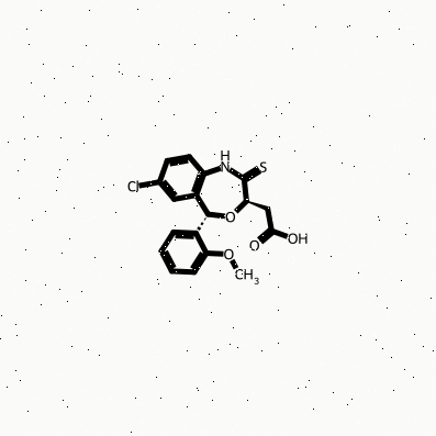 COc1ccccc1[C@H]1O[C@H](CC(=O)O)C(=S)Nc2ccc(Cl)cc21